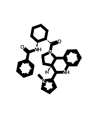 Cn1cccc1C1Nc2ccccc2C2[C@@H]1CCN2C(=O)[C@H]1CCCC[C@H]1NC(=O)c1ccccc1